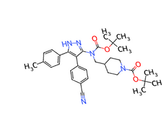 Cc1ccc(-c2[nH]nc(N(CC3CCN(C(=O)OC(C)(C)C)CC3)C(=O)OC(C)(C)C)c2-c2ccc(C#N)cc2)cc1